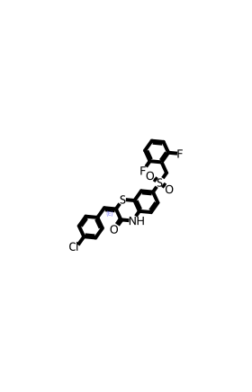 O=C1Nc2ccc(S(=O)(=O)Cc3c(F)cccc3F)cc2S/C1=C/c1ccc(Cl)cc1